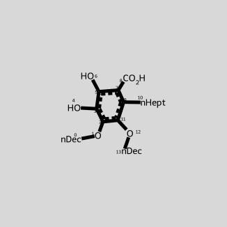 CCCCCCCCCCOc1c(O)c(O)c(C(=O)O)c(CCCCCCC)c1OCCCCCCCCCC